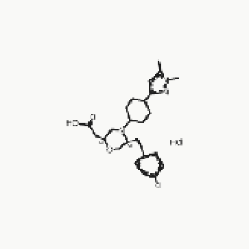 Cc1cc(C2CCC(N3C[C@H](CC(=O)O)OC[C@@H]3Cc3ccc(Cl)cc3)CC2)nn1C.Cl